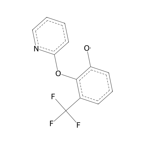 [O]c1cccc(C(F)(F)F)c1Oc1ccccn1